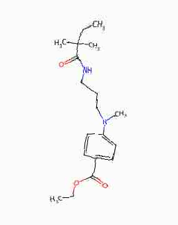 CCOC(=O)c1ccc(N(C)CCCNC(=O)C(C)(C)CC)cc1